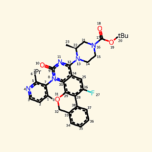 Cc1ccnc(C(C)C)c1-n1c(=O)nc(N2CCN(C(=O)OC(C)(C)C)C[C@@H]2C)c2cc(F)c3c(c21)OCc1ccccc1-3